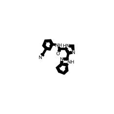 N#Cc1cccc(NC(=O)c2[nH]cnc2-c2nc3ccccc3[nH]2)c1